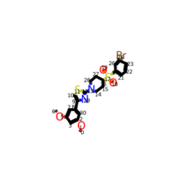 COc1cc(OC)cc(-c2csc(N3CCC(S(=O)(=O)c4cccc(Br)c4)CC3)n2)c1